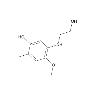 COc1cc(C)c(O)cc1NCCO